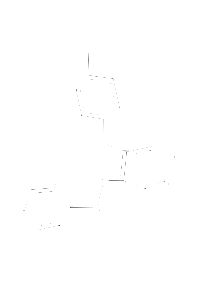 Cc1ccc(-c2nn(Cc3ccccc3Cl)c3ccccc23)cc1